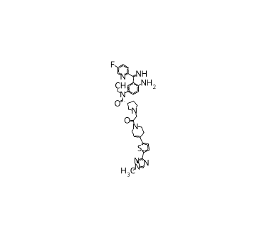 CCN(C(=O)[C@@H]1CCN(CC(=O)N2CC=C(c3ccc(-c4ncn(C)n4)s3)CC2)C1)c1ccc(N)c(C(=N)c2ccc(F)cn2)c1